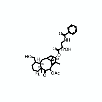 CC(=O)OC1C(=O)[C@@]2(C)[C@H](CC3C[C@H](OC(=O)[C@H](O)CNC(=O)c4ccccc4)C(C)=C1C3(C)C)C(CO)CC[C@@H]2C